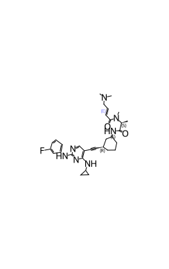 C[C@@H](C(=O)N[C@H]1CCC[C@@H](C#Cc2cnc(Nc3cccc(F)c3)nc2NC2CC2)C1)N(C)C(=O)/C=C/CN(C)C